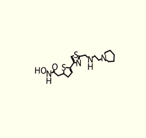 O=C(CC1CC=C(c2csc(CNCCN3CCCCC3)n2)S1)NO